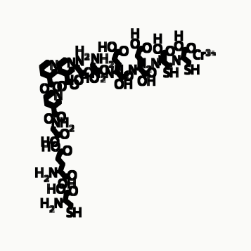 NCC(=O)O.NCC(=O)O.NCC(=O)O.N[C@@H](CCC(=O)O)C(=O)O.N[C@@H](CCC(=O)O)C(=O)O.N[C@@H](CCC(=O)O)C(=O)O.N[C@@H](CS)C(=O)O.N[C@@H](CS)C(=O)O.N[C@@H](CS)C(=O)O.O=C([O-])c1cccnc1.O=C([O-])c1cccnc1.O=C([O-])c1cccnc1.[Cr+3]